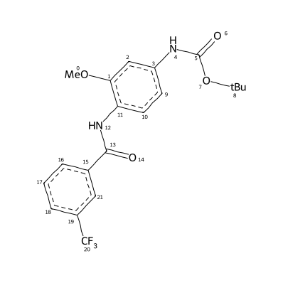 COc1cc(NC(=O)OC(C)(C)C)ccc1NC(=O)c1cccc(C(F)(F)F)c1